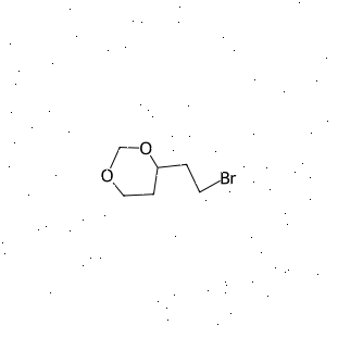 BrCCC1CCOCO1